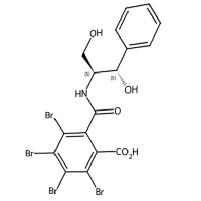 O=C(O)c1c(Br)c(Br)c(Br)c(Br)c1C(=O)N[C@@H](CO)[C@@H](O)c1ccccc1